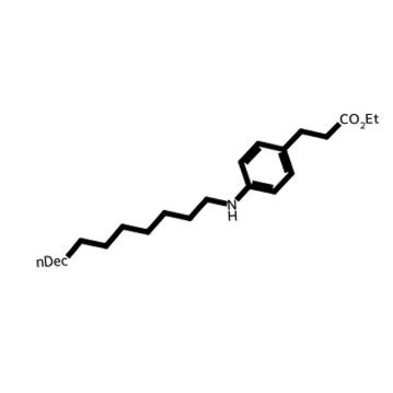 CCCCCCCCCCCCCCCCCNc1ccc(CCC(=O)OCC)cc1